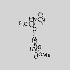 COC(=O)C(C)(C)NC(=O)N1CC2CC1CN2CCCOc1cc(Nc2cc(C)nc3ccccc23)cc(C(F)(F)F)c1